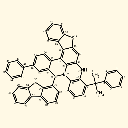 CC(C)(c1ccccc1)c1cccc2c1Nc1cc3sc4ccccc4c3c3c1B2N(c1cccc2c1sc1ccccc12)c1cc(-c2ccccc2)ccc1-3